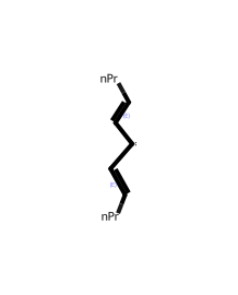 CCC/C=C/[C]/C=C/CCC